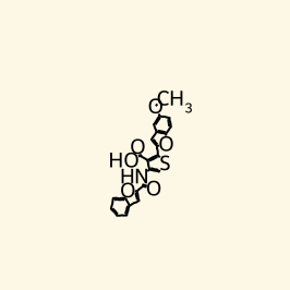 COc1ccc2oc(-c3scc(NC(=O)c4cc5ccccc5o4)c3C(=O)O)cc2c1